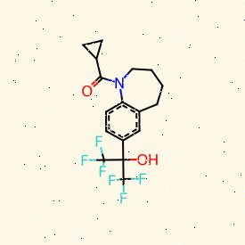 O=C(C1CC1)N1CCCCc2cc(C(O)(C(F)(F)F)C(F)(F)F)ccc21